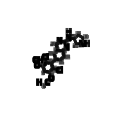 COc1cc(OC)c(Cl)c(-c2ccc3nc(NC4CCNC4)ncc3c2)c1Cl